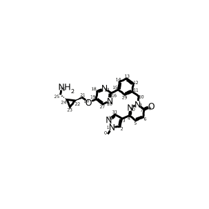 Cn1cc(-c2ccc(=O)n(Cc3cccc(-c4ncc(OC[C@H]5C[C@@H]5CN)cn4)c3)n2)cn1